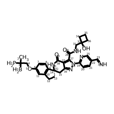 BC(C)(P)COc1ccc2c(c1)CC[C@]21Cc2nn(-c3ccc(C=N)cn3)c(C(=O)NCC3(O)CCC3)c2C(=O)N1